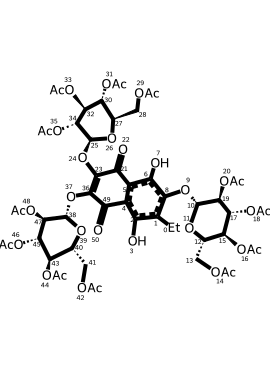 CCc1c(O)c2c(c(O)c1O[C@H]1O[C@@H](COC(C)=O)[C@H](OC(C)=O)[C@@H](OC(C)=O)[C@@H]1OC(C)=O)C(=O)C(O[C@@H]1O[C@H](COC(C)=O)[C@@H](OC(C)=O)[C@H](OC(C)=O)[C@H]1OC(C)=O)=C(O[C@@H]1O[C@H](COC(C)=O)[C@@H](OC(C)=O)[C@H](OC(C)=O)[C@H]1OC(C)=O)C2=O